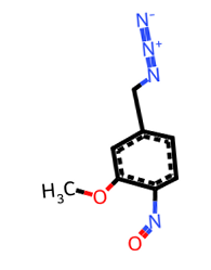 COc1cc(CN=[N+]=[N-])ccc1N=O